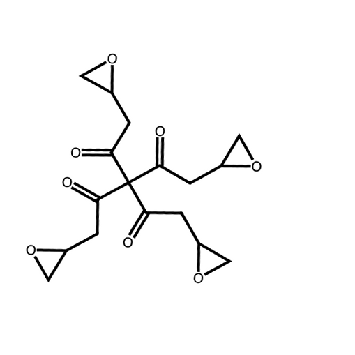 O=C(CC1CO1)C(C(=O)CC1CO1)(C(=O)CC1CO1)C(=O)CC1CO1